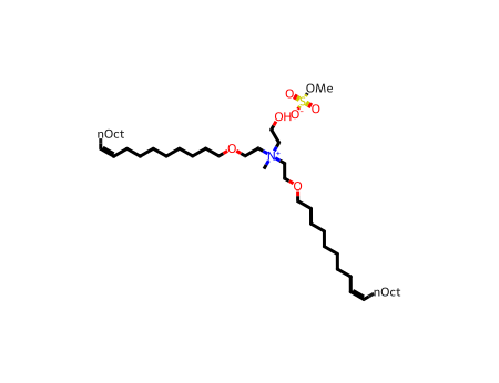 CCCCCCCC/C=C\CCCCCCCCOCC[N+](C)(CCO)CCOCCCCCCCC/C=C\CCCCCCCC.COS(=O)(=O)[O-]